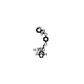 CC(=O)N1[C@@H]2CC[C@H]1C[C@@H](NCCOc1ccc(Oc3nc4ncccc4s3)cc1)C2